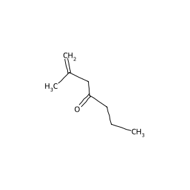 C=C(C)CC(=O)CCC